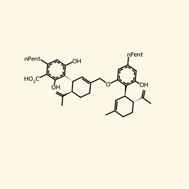 C=C(C)[C@@H]1CCC(C)=C[C@H]1c1c(O)cc(CCCCC)cc1OCC1=C[C@@H](c2c(O)cc(CCCCC)c(C(=O)O)c2O)[C@H](C(=C)C)CC1